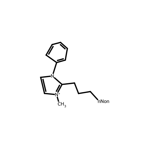 CCCCCCCCCCCCc1n(-c2ccccc2)cc[n+]1C